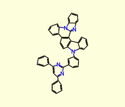 c1ccc(-c2cc(-c3ccccc3)nc(-c3cccc(-n4c5ccccc5c5c6c(ccc54)c4ccccc4n4c5ccccc5nc64)c3)n2)cc1